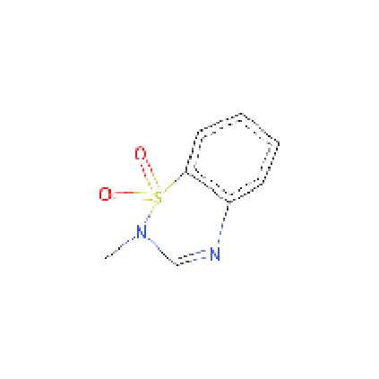 CN1C=Nc2ccccc2S1(=O)=O